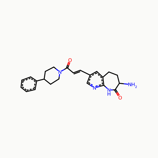 NC1CCc2cc(/C=C/C(=O)N3CCC(c4ccccc4)CC3)cnc2NC1=O